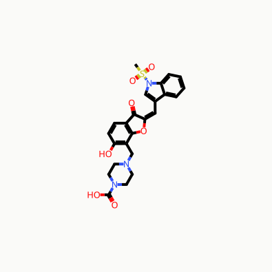 CS(=O)(=O)n1cc(C=C2Oc3c(ccc(O)c3CN3CCN(C(=O)O)CC3)C2=O)c2ccccc21